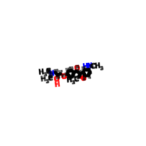 CNc1ccc2oc(C)c(C(=O)c3ccc(OCC(O)CN(C)C)cc3)c2c1